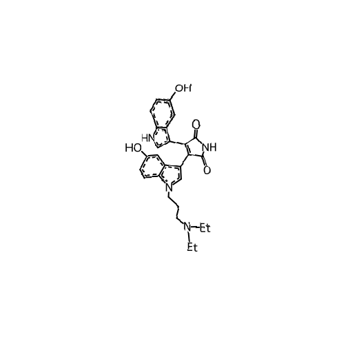 CCN(CC)CCCn1cc(C2=C(c3c[nH]c4ccc(O)cc34)C(=O)NC2=O)c2cc(O)ccc21